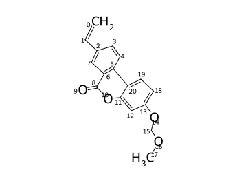 C=Cc1ccc2c(c1)c(=O)oc1cc(OCOC)ccc12